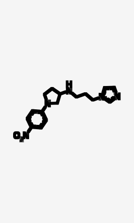 O=[N+]([O-])c1ccc(N2CCC(NCCCn3ccnc3)C2)cc1